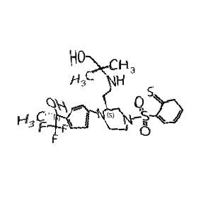 CC(C)(CO)NC[C@H]1CN(S(=O)(=O)C2=CC=CCC2=S)CCN1c1ccc([C@](C)(O)C(F)(F)F)cc1